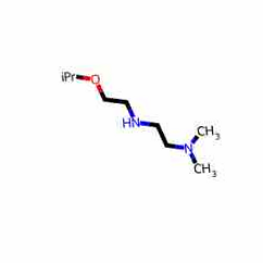 CC(C)OCCNCCN(C)C